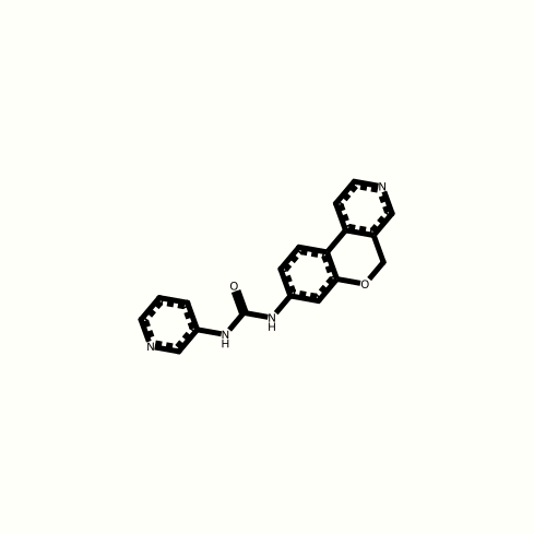 O=C(Nc1cccnc1)Nc1ccc2c(c1)OCc1cnccc1-2